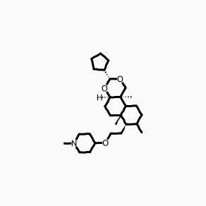 CC1CCC2[C@]3(C)CO[C@@H](C4CCCC4)O[C@@H]3CC[C@@]2(C)[C@@H]1CCOC1CCN(C)CC1